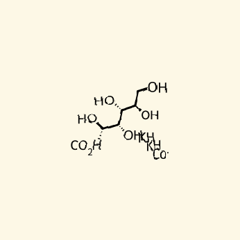 O=C(O)[C@H](O)[C@@H](O)[C@H](O)[C@H](O)CO.[Co].[KH].[KH]